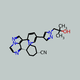 CC(C)(O)Cn1cc(-c2ccc(-c3cnn4ccnc([C@H]5CC[C@@H](C#N)CC5)c34)nc2)cn1